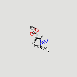 C[C@H]1CC[C@@H](C(=O)OC(C)(C)C)CN1